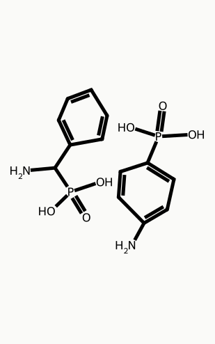 NC(c1ccccc1)P(=O)(O)O.Nc1ccc(P(=O)(O)O)cc1